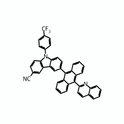 N#Cc1ccc2c(c1)c1cc(-c3c4ccccc4c(-c4ccc5ccccc5n4)c4ccccc34)ccc1n2-c1ccc(C(F)(F)F)cc1